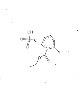 CCOC(=O)c1ccccc1I.O=S(=O)(O)Cl